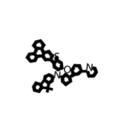 CC1(C)c2ccccc2-c2ccc(N(c3ccc4sc5cc6c7ccccc7c7ccccc7c6cc5c4c3)c3cccc4c3oc3ccc(-c5ccccn5)cc34)cc21